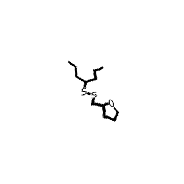 CCCC(CCC)SSCC1CCCO1